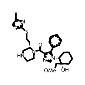 COC[C@]1(O)CCCC[C@H]1n1cnc(C(=O)N2CCNC[C@H]2CCSc2nc(C)cs2)c1-c1ccccc1